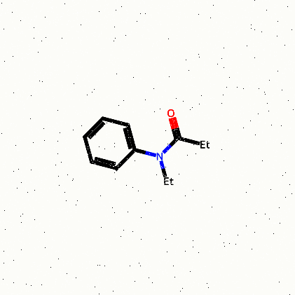 CCC(=O)N(CC)c1[c]cccc1